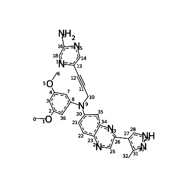 COc1cc(OC)cc(N(CC#Cc2cnc(N)cn2)c2ccc3ncc(-c4c[nH]nc4C)nc3c2)c1